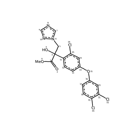 COC(=O)C(O)(Cn1cncn1)c1ccc(Oc2ccc(Cl)c(Cl)c2)cc1Cl